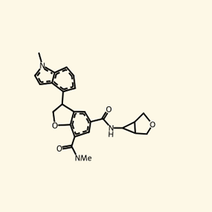 CNC(=O)c1cc(C(=O)NC2C3COCC32)cc2c1OCC2c1cccc2c1ccn2C